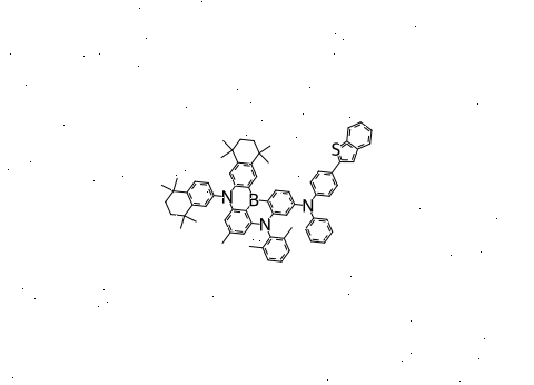 Cc1cc2c3c(c1)N(c1c(C)cccc1C)c1cc(N(c4ccccc4)c4ccc(-c5cc6ccccc6s5)cc4)ccc1B3c1cc3c(cc1N2c1ccc2c(c1)C(C)(C)CCC2(C)C)C(C)(C)CCC3(C)C